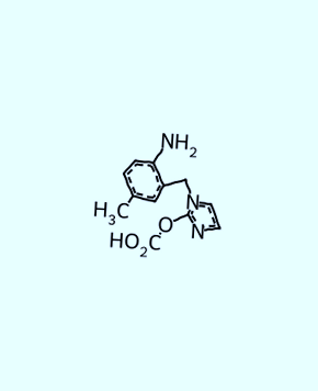 Cc1ccc(N)c(Cn2ccnc2OC(=O)O)c1